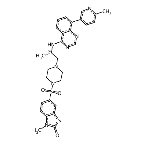 Cc1ccc(-c2cccc3c(N[C@@H](C)CN4CCN(S(=O)(=O)c5ccc6c(c5)sc(=O)n6C)CC4)ncnc23)cn1